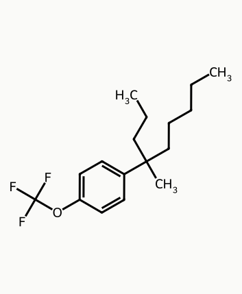 CCCCCC(C)(CCC)c1ccc(OC(F)(F)F)cc1